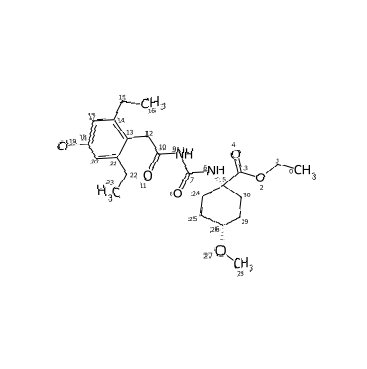 CCOC(=O)[C@]1(NC(=O)NC(=O)Cc2c(CC)cc(Cl)cc2CC)CC[C@@H](OC)CC1